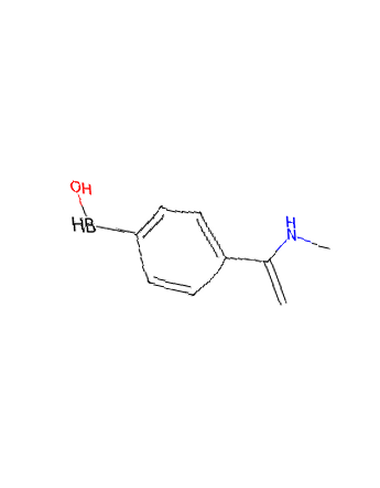 C=C(NC)c1ccc(BO)cc1